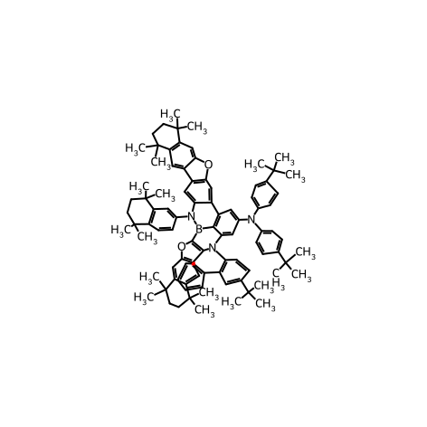 CC(C)(C)c1ccc(N(c2ccc(C(C)(C)C)cc2)c2cc3c4c(c2)N(c2ccc(C(C)(C)C)cc2-c2ccccc2)c2c(oc5cc6c(cc25)C(C)(C)CCC6(C)C)B4N(c2ccc4c(c2)C(C)(C)CCC4(C)C)c2cc4c(cc2-3)oc2cc3c(cc24)C(C)(C)CCC3(C)C)cc1